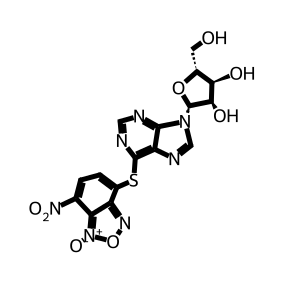 O=[N+]([O-])c1ccc(Sc2ncnc3c2ncn3[C@@H]2O[C@H](CO)[C@@H](O)[C@H]2O)c2no[n+]([O-])c12